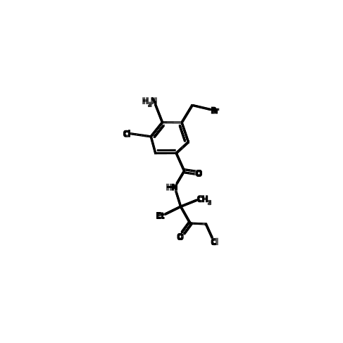 CCC(C)(NC(=O)c1cc(Cl)c(N)c(CBr)c1)C(=O)CCl